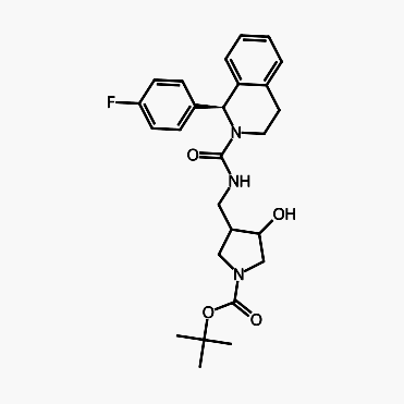 CC(C)(C)OC(=O)N1CC(O)C(CNC(=O)N2CCc3ccccc3[C@@H]2c2ccc(F)cc2)C1